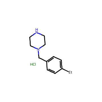 CCc1ccc(CN2CCNCC2)cc1.Cl